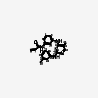 C=CC(=O)Nc1cccc(Nc2nc(Nc3cccc(C)c3)ncc2C)c1